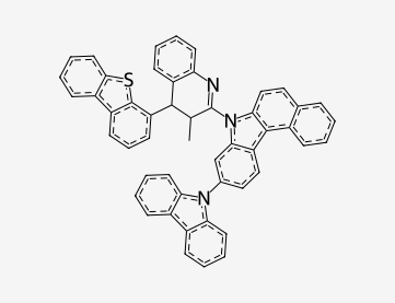 CC1C(n2c3cc(-n4c5ccccc5c5ccccc54)ccc3c3c4ccccc4ccc32)=Nc2ccccc2C1c1cccc2c1sc1ccccc12